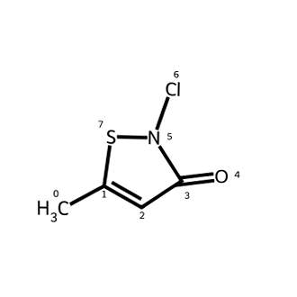 Cc1cc(=O)n(Cl)s1